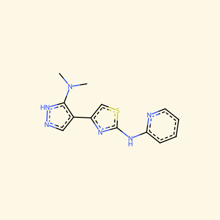 CN(C)c1[nH]ncc1-c1csc(Nc2ccccn2)n1